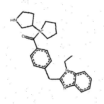 CCn1c(Cc2ccc(C(=O)[N+]3(C4CCNC4)CCCC3)cc2)nc2ccccc21